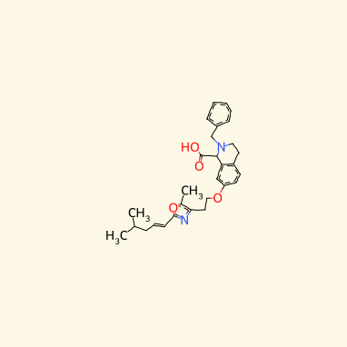 Cc1oc(C=CCC(C)C)nc1CCOc1ccc2c(c1)C(C(=O)O)N(Cc1ccccc1)CC2